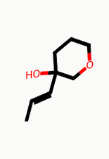 C/C=C/C1(O)CCCOC1